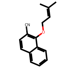 CC(C)=CCOc1c(C#N)ccc2ccccc12